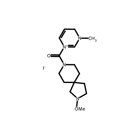 CON1CCC2(CCN(C(=O)[N+]3=CN(C)CC=C3)CC2)C1.[I-]